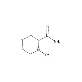 CCN1CC[CH]CC1C(N)=O